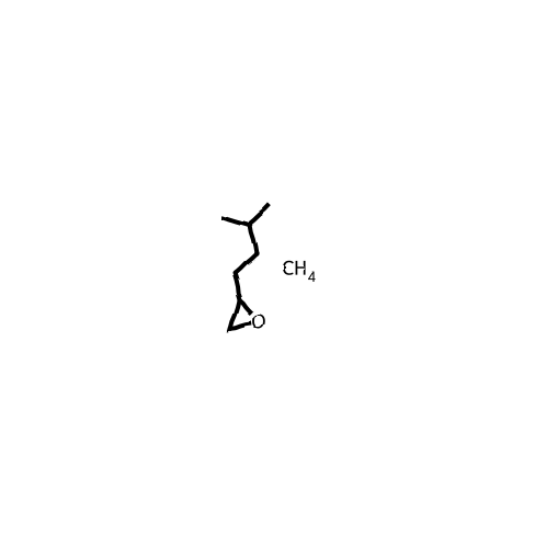 C.CC(C)CCC1CO1